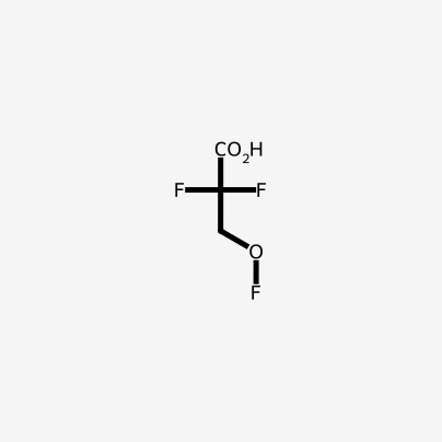 O=C(O)C(F)(F)COF